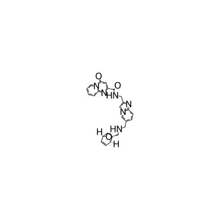 O=C(NCc1cn2cc(CNC[C@@H]3C[C@@H]4C=C[C@H]3O4)ccc2n1)c1cc(=O)n2ccccc2n1